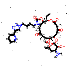 CC[C@H]1OC(=O)[C@H](C)C(=O)[C@H](C)[C@@H](O[C@@H]2OC(C)CC(N(C)C)C2O)[C@](C)(OC)C[C@@H](C)C(=O)[C@H](C)[C@H]2N(C/C=C/Cn3cc(-c4ccccn4)nn3)C(=O)O[C@]12C